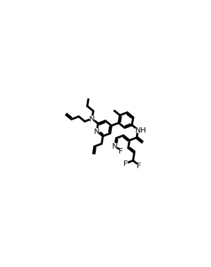 C=CCCN(CCC)c1cc(-c2cc(NC(=C)C(/C=C/C(F)F)=C/C=N\F)ccc2C)cc(CC=C)n1